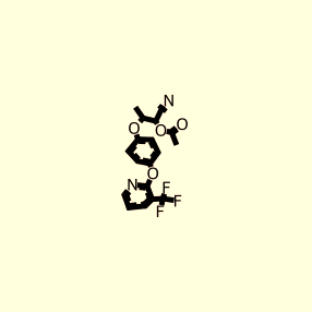 CC(=O)OC(C#N)C(C)Oc1ccc(Oc2ncccc2C(F)(F)F)cc1